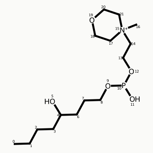 CCCCC(O)CCCOP(O)OCC[N+]1(C)CCOCC1